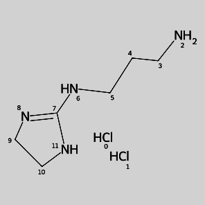 Cl.Cl.NCCCNC1=NCCN1